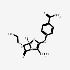 NC(=O)c1ccc(OC2=C(C(=O)O)N3C(=O)[C@H](CCO)[C@H]3S2)cc1